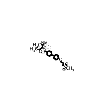 COC(=O)[C@@H](NC(=O)c1ccc(-c2ccc(OCCCS(C)(=O)=O)cc2)cc1)C(C)(C)N